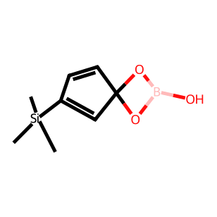 C[Si](C)(C)C1=CC2(C=C1)OB(O)O2